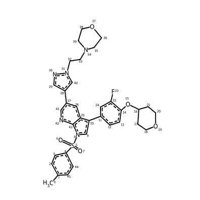 Cc1ccc(S(=O)(=O)n2cc(-c3ccc(OC4CCOCC4)c(F)c3)c3cc(-c4cnn(CCN5CCOCC5)c4)cnc32)cc1